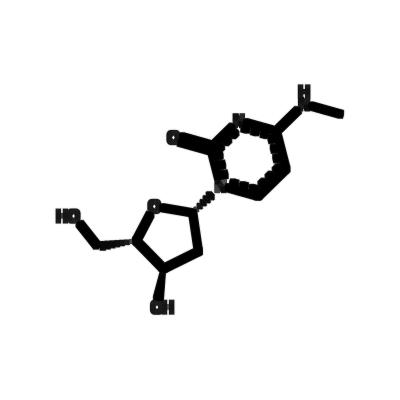 CNc1ccn([C@@H]2C[C@@H](O)[C@H](CO)O2)c(=O)n1